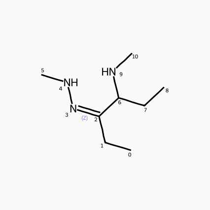 CC/C(=N/NC)C(CC)NC